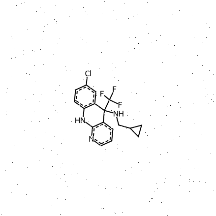 FC(F)(F)C1(NCC2CC2)c2cc(Cl)ccc2Nc2ncccc21